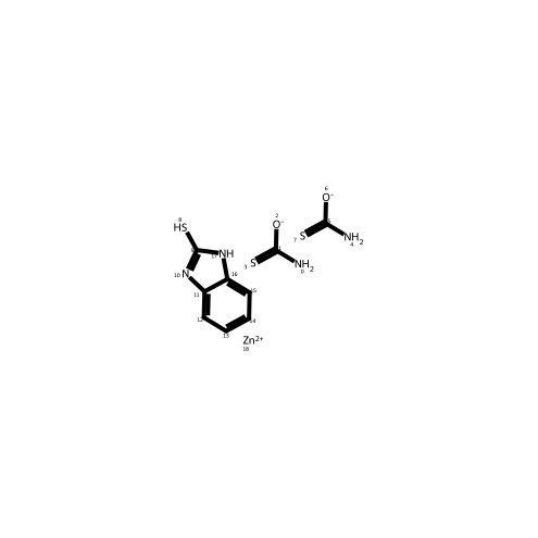 NC([O-])=S.NC([O-])=S.Sc1nc2ccccc2[nH]1.[Zn+2]